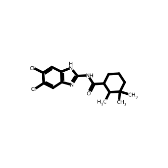 CC1C(C(=O)Nc2nc3cc(Cl)c(Cl)cc3[nH]2)CCCC1(C)C